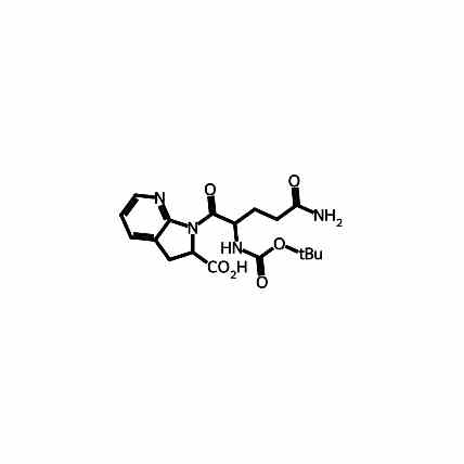 CC(C)(C)OC(=O)NC(CCC(N)=O)C(=O)N1c2ncccc2CC1C(=O)O